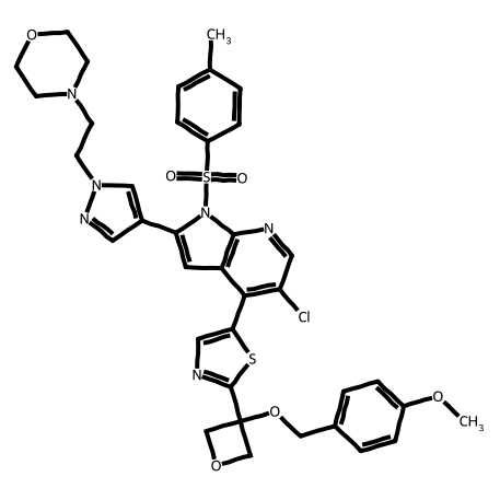 COc1ccc(COC2(c3ncc(-c4c(Cl)cnc5c4cc(-c4cnn(CCN6CCOCC6)c4)n5S(=O)(=O)c4ccc(C)cc4)s3)COC2)cc1